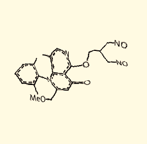 COCc1cc(=O)c2c(OCC(CN=O)CN=O)ncc(C)c2n1-c1c(C)cccc1C